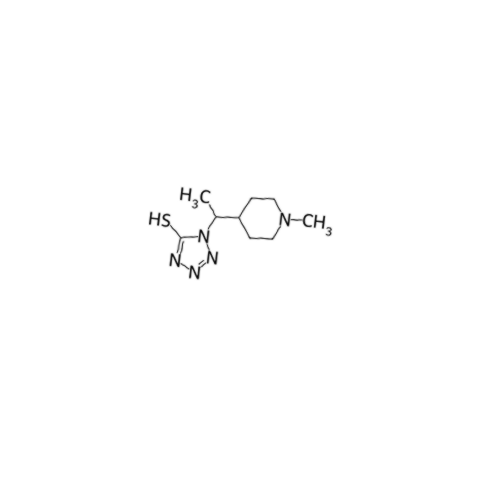 CC(C1CCN(C)CC1)n1nnnc1S